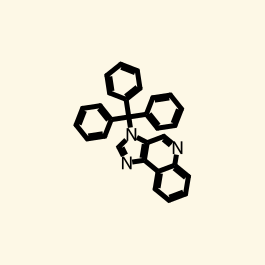 c1ccc(C(c2ccccc2)(c2ccccc2)n2cnc3c4ccccc4ncc32)cc1